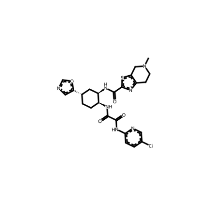 CN1CCc2nc(C(=O)N[C@@H]3C[C@@H](c4cnco4)CC[C@@H]3NC(=O)C(=O)Nc3ccc(Cl)cn3)sc2C1